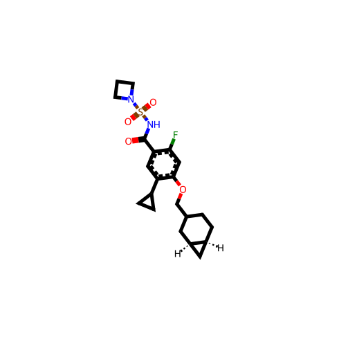 O=C(NS(=O)(=O)N1CCC1)c1cc(C2CC2)c(OCC2CC[C@H]3C[C@H]3C2)cc1F